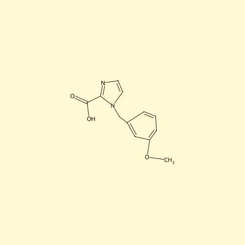 COc1cccc(Cn2ccnc2C(=O)O)c1